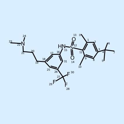 Cc1cc(C(C)(C)C)cc(C)c1S(=O)(=O)Nc1cc(CCCN(C)C)cc(C(F)(F)F)c1